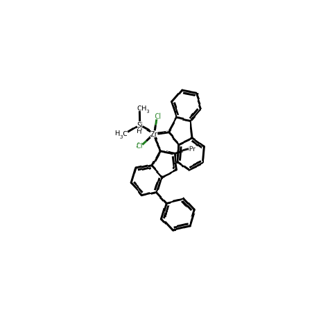 CC(C)C1=Cc2c(-c3ccccc3)cccc2[CH]1[Zr]([Cl])([Cl])([CH]1c2ccccc2-c2ccccc21)[SiH](C)C